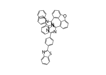 c1ccc(-c2nc(-c3ccc(-c4nc5ccccc5s4)cc3)nc(-c3cccc4oc5cccc(-c6nc7ccccc7n6-c6ccccc6)c5c34)n2)cc1